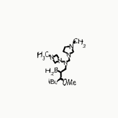 BC(CN(CN1CCN(C)C1)N1CN(C)C1)C(OC)C(C)CC